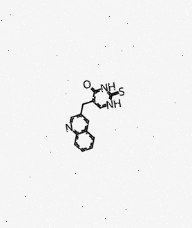 O=c1[nH]c(=S)[nH]cc1Cc1cnc2ccccc2c1